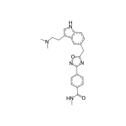 CNC(=O)c1ccc(-c2noc(Cc3ccc4[nH]cc(CCN(C)C)c4c3)n2)cc1